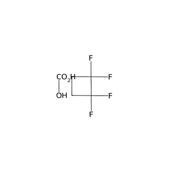 FC1(F)CCC1(F)F.O=C(O)O